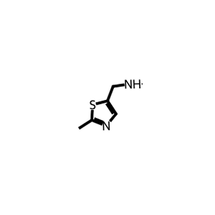 Cc1ncc(C[NH])s1